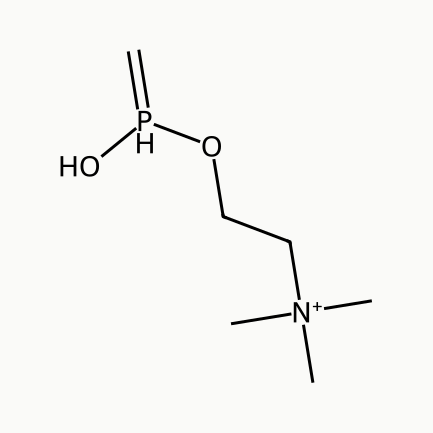 C=[PH](O)OCC[N+](C)(C)C